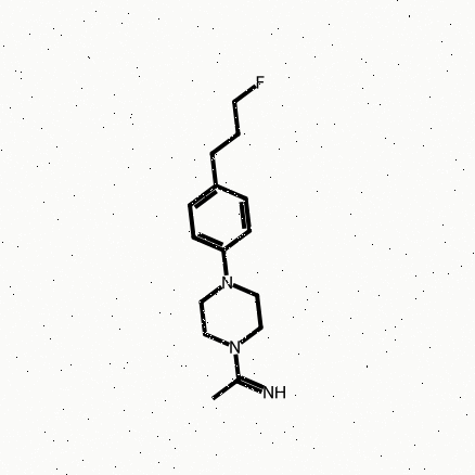 CC(=N)N1CCN(c2ccc(CCCF)cc2)CC1